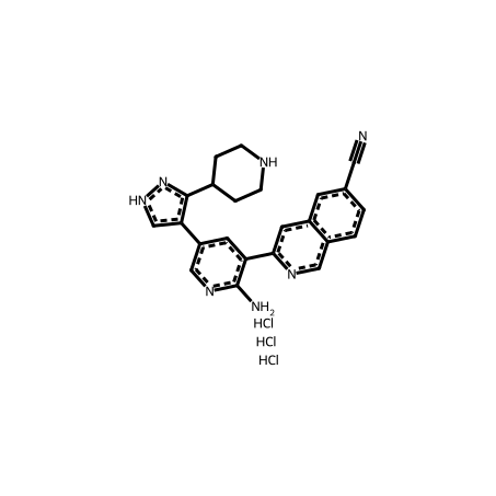 Cl.Cl.Cl.N#Cc1ccc2cnc(-c3cc(-c4c[nH]nc4C4CCNCC4)cnc3N)cc2c1